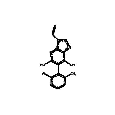 Cc1cccc(F)c1-c1c(O)nc2c(C=O)cnn2c1O